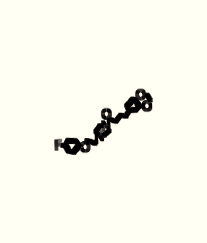 O=C(CCCc1ccc2c(c1)OCCO2)N1CCN(CCOc2ccc(F)cc2)CC1